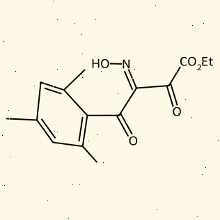 CCOC(=O)C(=O)/C(=N/O)C(=O)c1c(C)cc(C)cc1C